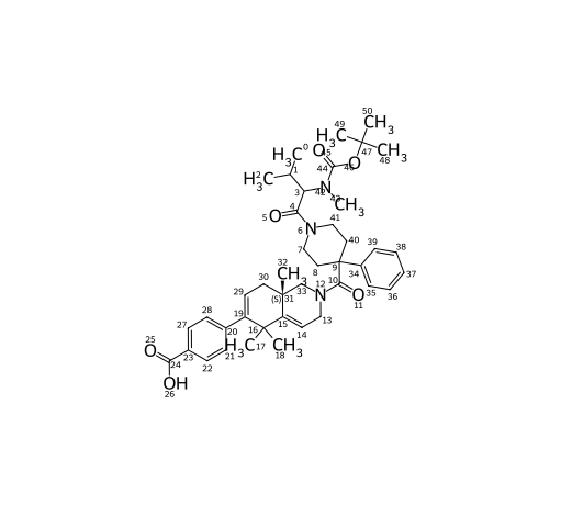 CC(C)C(C(=O)N1CCC(C(=O)N2CC=C3C(C)(C)C(c4ccc(C(=O)O)cc4)=CC[C@]3(C)C2)(c2ccccc2)CC1)N(C)C(=O)OC(C)(C)C